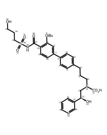 CC(C)COc1cc(-c2ccc(CCCN(C[C@@H](O)c3cccnc3)C(=O)O)cc2)ccc1C(=O)NS(=O)(=O)CCCO